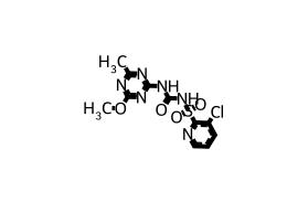 COc1nc(C)nc(NC(=O)NS(=O)(=O)c2ncccc2Cl)n1